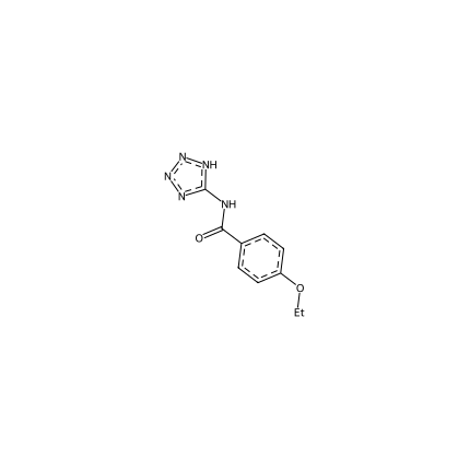 [CH2]COc1ccc(C(=O)Nc2nnn[nH]2)cc1